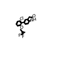 O=C1Cc2cc(-c3c(Cl)cccc3OCC3CC3(F)F)ccc2N1